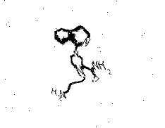 NCCCN1CCN(c2nccc3ccccc23)CC1C(N)=O